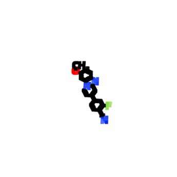 COc1ccc2nc3cc(-c4ccc(C#N)c(F)c4)ccn3c2c1